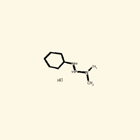 CN(C)PNC1CCCCC1.Cl